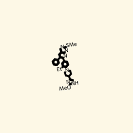 CCc1cc(-c2nc3nc(SC)ncc3cc2-c2ccccc2)ccc1N1CCC(c2c[nH]c(OC)n2)CC1